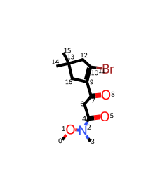 CON(C)C(=O)CC(=O)C1=C(Br)CC(C)(C)C1